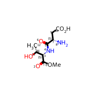 COC(=O)[C@@H](NC(=O)[C@@H](N)CC(=O)O)[C@@H](C)O